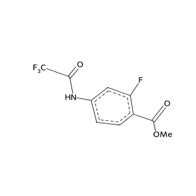 COC(=O)c1ccc(NC(=O)C(F)(F)F)cc1F